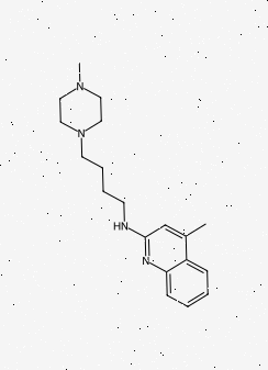 Cc1cc(NCCCCN2CCN(C)CC2)nc2ccccc12